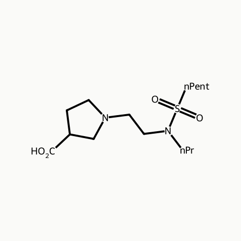 CCCCCS(=O)(=O)N(CCC)CCN1CCC(C(=O)O)C1